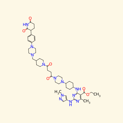 CCOC(=O)c1c(C)nc(Nc2cnn(C)c2)nc1NC1CCC(N2CCN(C(=O)CCC(=O)N3CCC(CN4CCN(c5ccc(C6CCC(=O)NC6=O)cc5)CC4)CC3)CC2)CC1